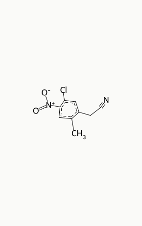 Cc1cc([N+](=O)[O-])c(Cl)cc1CC#N